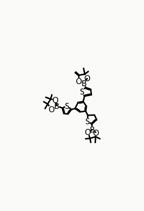 C=C1OB(c2ccc(-c3cc(-c4ccc(B5OC(C)(C)C(C)(C)O5)s4)cc(C4CC=C(B5OC(C)(C)C(C)(C)O5)S4)c3)s2)OC1(C)C